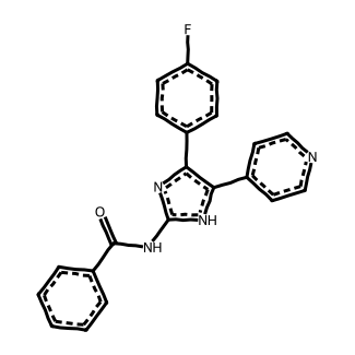 O=C(Nc1nc(-c2ccc(F)cc2)c(-c2ccncc2)[nH]1)c1ccccc1